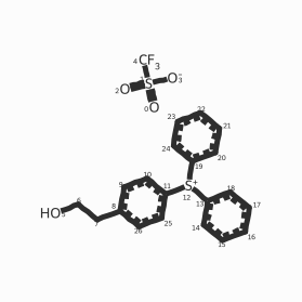 O=S(=O)([O-])C(F)(F)F.OCCc1ccc([S+](c2ccccc2)c2ccccc2)cc1